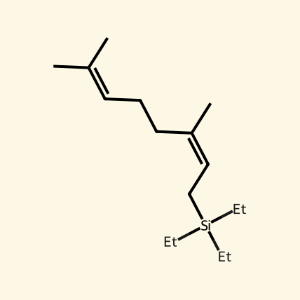 CC[Si](CC)(CC)CC=C(C)CCC=C(C)C